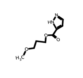 COCCCOC(=O)c1ccn[nH]1